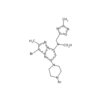 CC(=O)N1CCN(c2cc(N(Cc3nc(C)no3)C(=O)O)n3nc(C)c(Br)c3n2)CC1